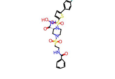 O=C(NCCS(=O)(=O)N1CCN(S(=O)(=O)c2ccc(-c3ccc(F)cc3)s2)[C@@H](C(=O)NO)C1)c1ccccc1